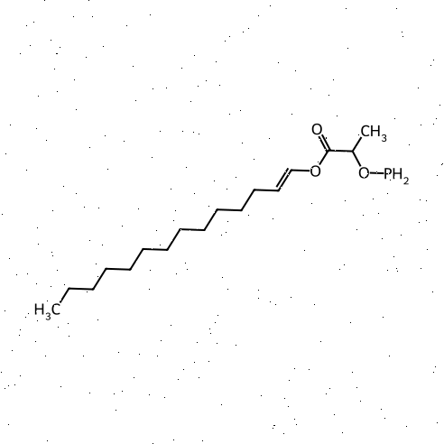 CCCCCCCCCCCCC=COC(=O)C(C)OP